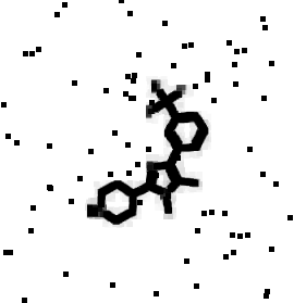 Cc1c(-c2cccc(C(F)(F)F)c2)nc(C2CCNCC2)n1C